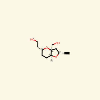 C#C[C@H]1C[C@]2(CO)O[C@@H](CCO)CC[C@@H]2O1